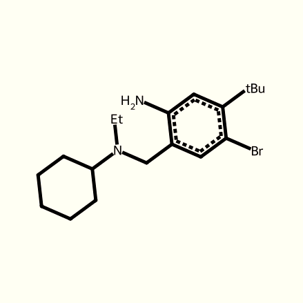 CCN(Cc1cc(Br)c(C(C)(C)C)cc1N)C1CCCCC1